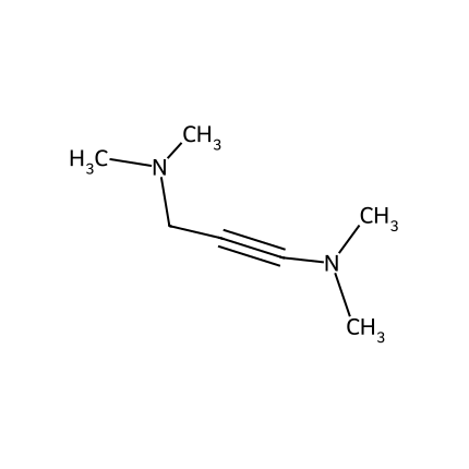 CN(C)C#CCN(C)C